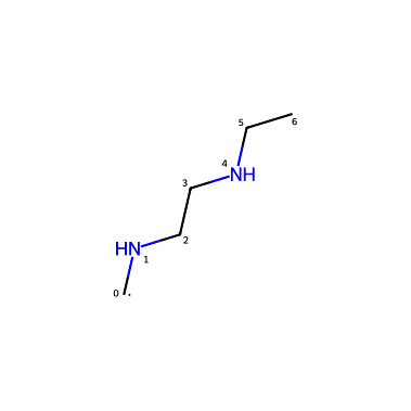 [CH2]NCCNCC